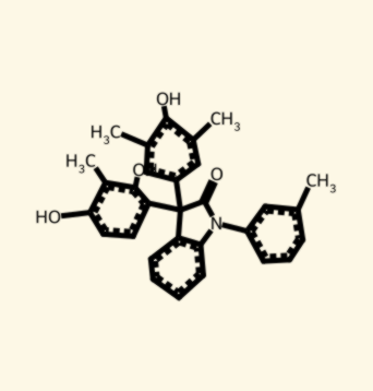 Cc1cccc(N2C(=O)C(c3cc(C)c(O)c(C)c3)(c3ccc(O)c(C)c3O)c3ccccc32)c1